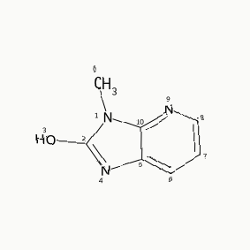 Cn1c(O)nc2cc[c]nc21